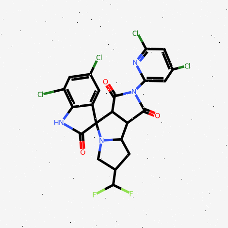 O=C1C2C3CC(C(F)F)CN3C3(C(=O)Nc4c(Cl)cc(Cl)cc43)C2C(=O)N1c1cc(Cl)cc(Cl)n1